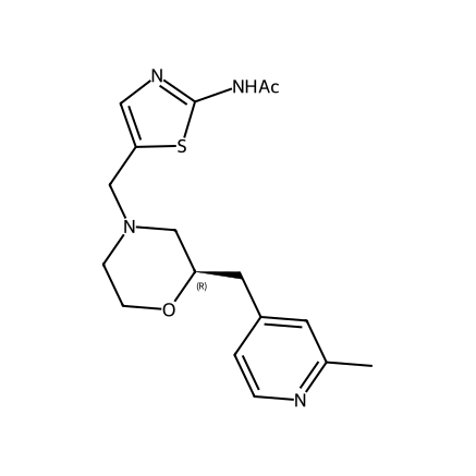 CC(=O)Nc1ncc(CN2CCO[C@H](Cc3ccnc(C)c3)C2)s1